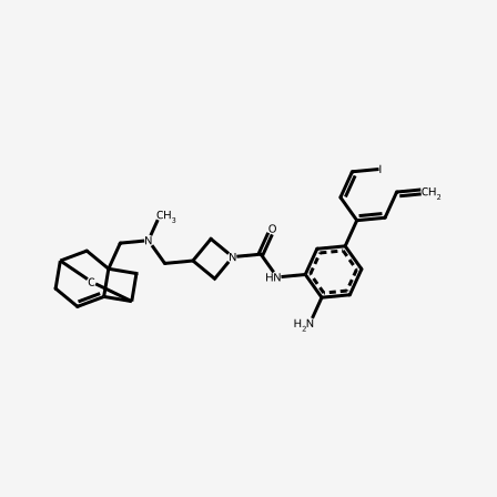 C=C/C=C(\C=C/I)c1ccc(N)c(NC(=O)N2CC(CN(C)CC34CC5CC=C3C(C5)C4)C2)c1